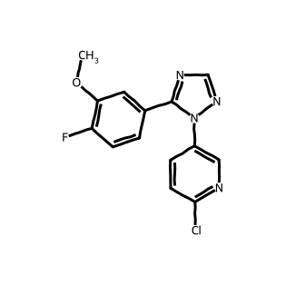 COc1cc(-c2ncnn2-c2ccc(Cl)nc2)ccc1F